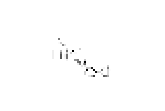 CSCCC(N)C(=O)Nc1nc(-c2cccc(-c3ccncc3)c2)cs1